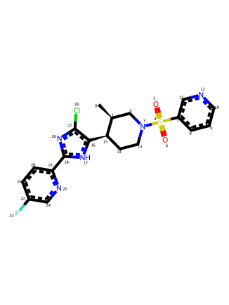 C[C@H]1CN(S(=O)(=O)c2cccnc2)CC[C@H]1c1[nH]c(-c2ccc(F)cn2)nc1Cl